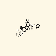 N[C@H](Cc1oc2c(NCc3cccs3)cc(Cl)nc2c1Br)CC(F)(F)F